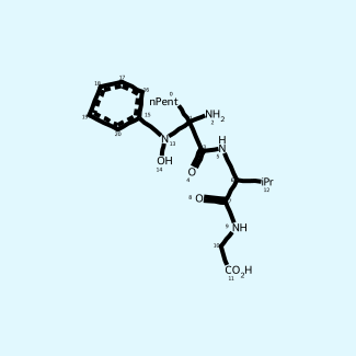 CCCCCC(N)(C(=O)NC(C(=O)NCC(=O)O)C(C)C)N(O)c1ccccc1